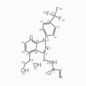 C=CC(=O)NCc1nn(-c2ccc(C(F)(F)F)cc2)c2nccc([C@H](O)CO)c12